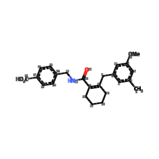 COc1cc(C)cc(CC2=C(C(=O)NCc3ccc(C(=O)O)cc3)CCCC2)c1